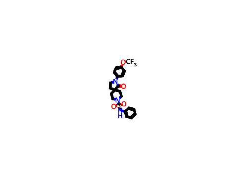 O=C1N(c2ccc(OC(F)(F)F)cc2)CCC12CCN(S(=O)(=O)Nc1ccccc1)CC2